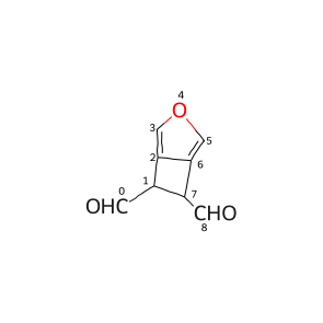 O=CC1c2cocc2C1C=O